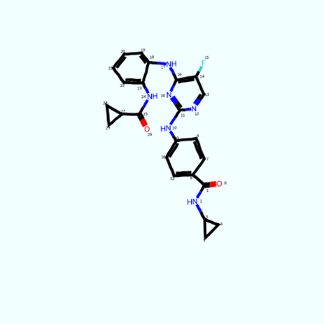 O=C(NC1CC1)c1ccc(Nc2ncc(F)c(Nc3ccccc3NC(=O)C3CC3)n2)cc1